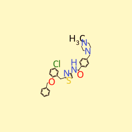 CN1CCN(Cc2ccc(C(=O)Nc3csc(Cc4cc(Cl)ccc4OCc4ccccc4)n3)cc2)CC1